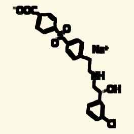 O=C([O-])c1ccc(S(=O)(=O)c2ccc(CCNC[C@H](O)c3cccc(Cl)c3)cc2)cc1.[Na+]